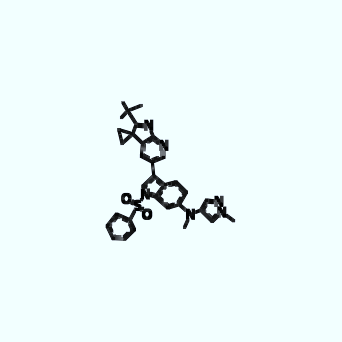 CN(c1ccc2c(-c3cnc4c(c3)C3(CC3)C(C(C)(C)C)=N4)cn(S(=O)(=O)c3ccccc3)c2c1)c1cnn(C)c1